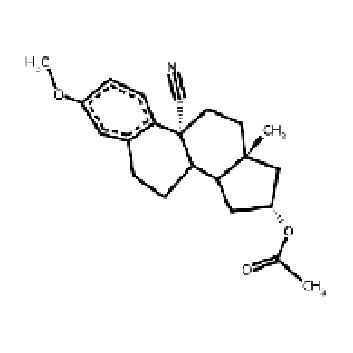 COc1ccc2c(c1)CCC1C3C[C@@H](OC(C)=O)C[C@@]3(C)CC[C@]21C#N